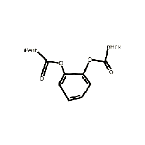 CCCCCCC(=O)Oc1ccccc1OC(=O)C(C)CCC